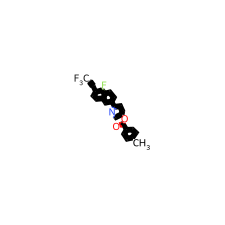 Cc1ccc(C(=O)Oc2ccc(-c3ccc4c(F)c(C#CC(F)(F)F)ccc4c3)nc2)cc1